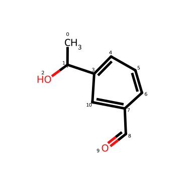 C[C](O)c1cccc(C=O)c1